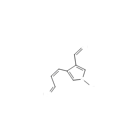 C=C/C=C\c1cn(C)cc1C=C